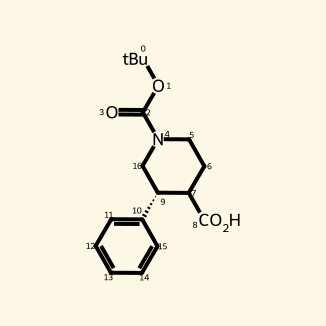 CC(C)(C)OC(=O)N1CCC(C(=O)O)[C@H](c2ccccc2)C1